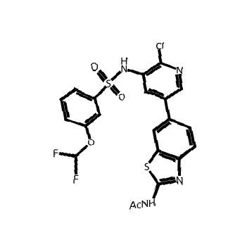 CC(=O)Nc1nc2ccc(-c3cnc(Cl)c(NS(=O)(=O)c4cccc(OC(F)F)c4)c3)cc2s1